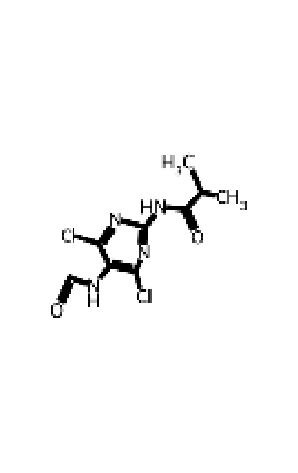 CC(C)C(=O)Nc1nc(Cl)c(NC=O)c(Cl)n1